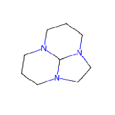 C1CN2CCCN3CCN(C1)C23